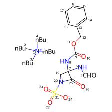 CCCC[N+](CCCC)(CCCC)CCCC.O=CNC1(NC(=O)OCc2ccccc2)CN(S(=O)(=O)[O-])C1=O